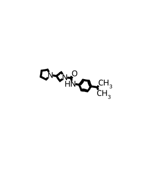 CC(C)c1ccc(NC(=O)N2CC(N3CCCC3)C2)cc1